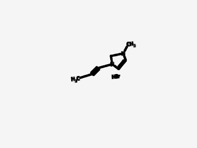 Br.CC#CN1C=CN(C)C1